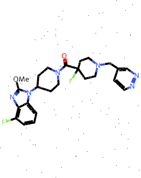 COc1nc2c(F)cccc2n1C1CCN(C(=O)C2(F)CCN(Cc3ccnnc3)CC2)CC1